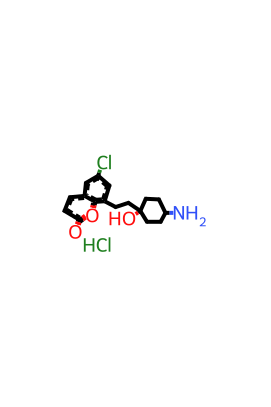 Cl.NC1CCC(O)(CCc2cc(Cl)cc3ccc(=O)oc23)CC1